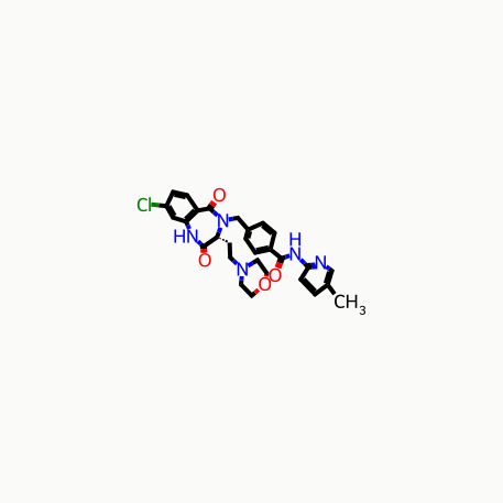 Cc1ccc(NC(=O)c2ccc(CN3C(=O)c4ccc(Cl)cc4NC(=O)[C@H]3CCN3CCOCC3)cc2)nc1